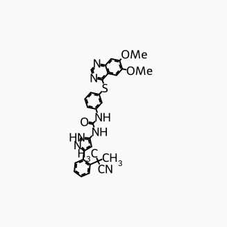 COc1cc2ncnc(Sc3cccc(NC(=O)Nc4cc(-c5ccccc5C(C)(C)C#N)n[nH]4)c3)c2cc1OC